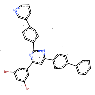 Brc1cc(Br)cc(-c2cc(-c3ccc(-c4ccccc4)cc3)nc(-c3ccc(-c4cccnc4)cc3)n2)c1